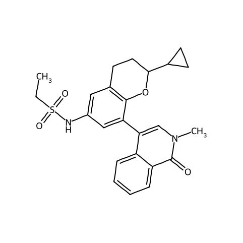 CCS(=O)(=O)Nc1cc2c(c(-c3cn(C)c(=O)c4ccccc34)c1)OC(C1CC1)CC2